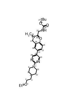 CCOCCC1CCN(c2ncc(-c3cccc(CN(C)C(=O)CNC(=O)OC(C)(C)C)c3)cn2)CC1